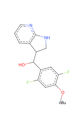 CCCCOc1cc(F)c(C(O)C2CNc3ncccc32)cc1F